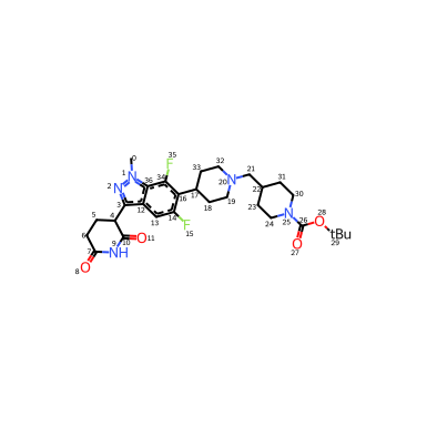 Cn1nc(C2CCC(=O)NC2=O)c2cc(F)c(C3CCN(CC4CCN(C(=O)OC(C)(C)C)CC4)CC3)c(F)c21